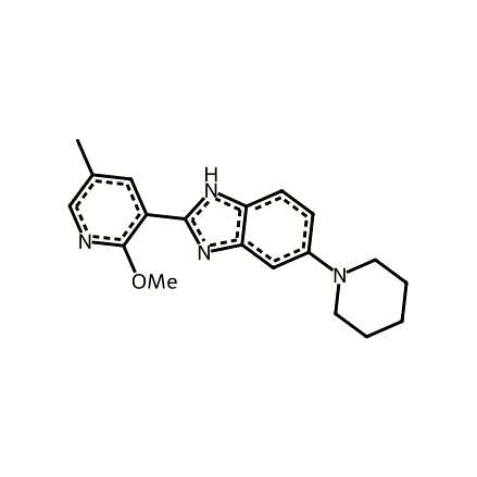 COc1ncc(C)cc1-c1nc2cc(N3CCCCC3)ccc2[nH]1